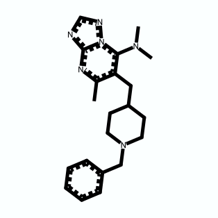 Cc1nc2ncnn2c(N(C)C)c1CC1CCN(Cc2ccccc2)CC1